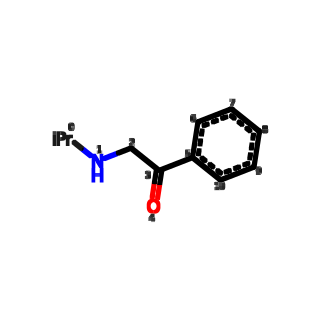 CC(C)NCC(=O)c1ccccc1